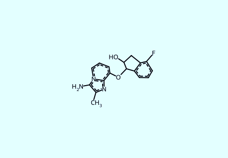 Cc1nc2c(OC3c4cccc(F)c4CC3O)cccn2c1N